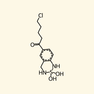 O=C(CCCCCl)c1ccc2c(c1)CNS(O)(O)N2